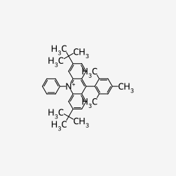 Cc1cc(C)c(-c2c3ccc(C(C)(C)C)cc3[n+](-c3ccccc3)c3cc(C(C)(C)C)ccc23)c(C)c1